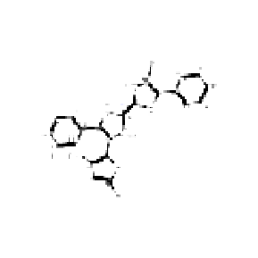 CCCCCCc1cc(C)sc1C1=C(c2ccccc2)S/C(=C2\SC(C)=C(c3ccccc3)S2)S1